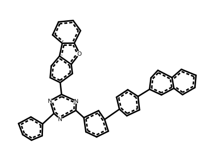 c1ccc(-c2nc(-c3cccc(-c4ccc(-c5ccc6ccccc6c5)cc4)c3)nc(-c3ccc4c(c3)oc3ccccc34)n2)cc1